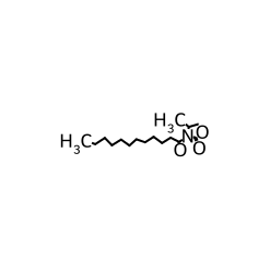 CCCCCCCCCCCC(=O)N1C(=O)OCC1C